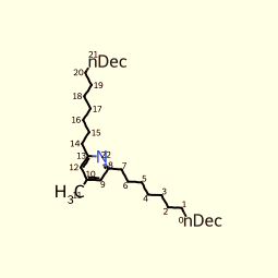 CCCCCCCCCCCCCCCCCc1cc(C)cc(CCCCCCCCCCCCCCCCC)n1